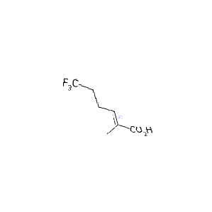 C/C(=C\CCC(F)(F)F)C(=O)O